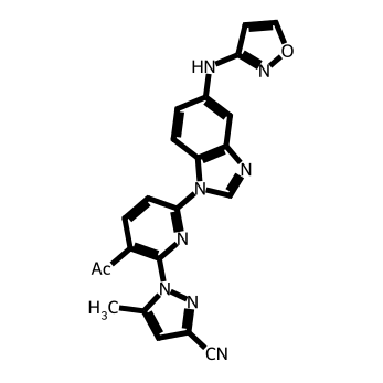 CC(=O)c1ccc(-n2cnc3cc(Nc4ccon4)ccc32)nc1-n1nc(C#N)cc1C